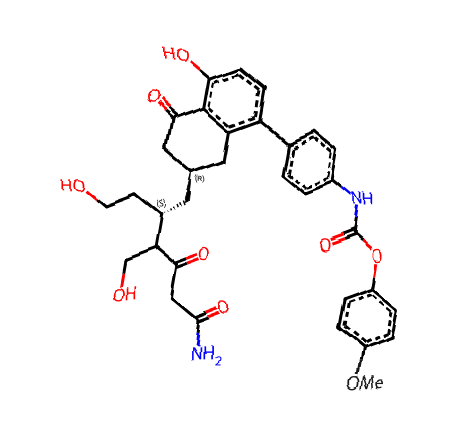 COc1ccc(OC(=O)Nc2ccc(-c3ccc(O)c4c3C[C@@H](C[C@@H](CCO)C(CO)C(=O)CC(N)=O)CC4=O)cc2)cc1